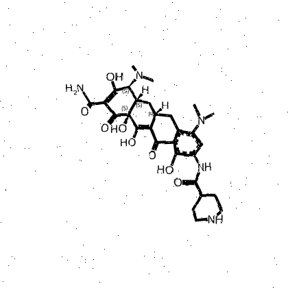 CN(C)c1cc(NC(=O)C2CCNCC2)c(O)c2c1C[C@H]1C[C@H]3[C@H](N(C)C)C(O)=C(C(N)=O)C(=O)[C@@]3(O)C(O)=C1C2=O